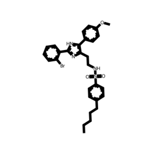 CCCCCc1ccc(S(=O)(=O)NCCc2nc(-c3ccccc3Br)[nH]c2-c2ccc(OC)cc2)cc1